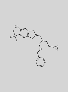 FC(F)(F)c1cc2c(cc1Cl)CN(CC(CCC1CC1)COCc1ccccc1)C2